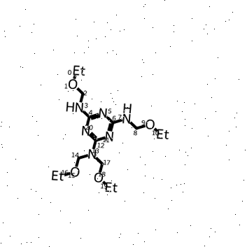 CCOCNc1nc(NCOCC)nc(N(COCC)COCC)n1